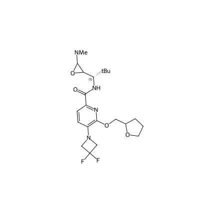 CNC1OC1[C@@H](NC(=O)c1ccc(N2CC(F)(F)C2)c(OCC2CCCO2)n1)C(C)(C)C